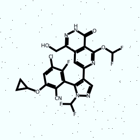 N#Cc1c(OC2CC2)cc(Cl)c(F)c1-c1c(-c2cc3c(CO)n[nH]c(=O)c3c(OC(F)F)n2)cnn1C(F)F